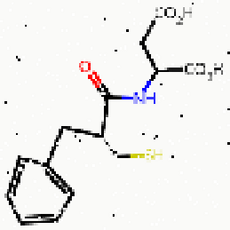 O=C(O)C[C@H](NC(=O)[C@H](CS)Cc1ccccc1)C(=O)O